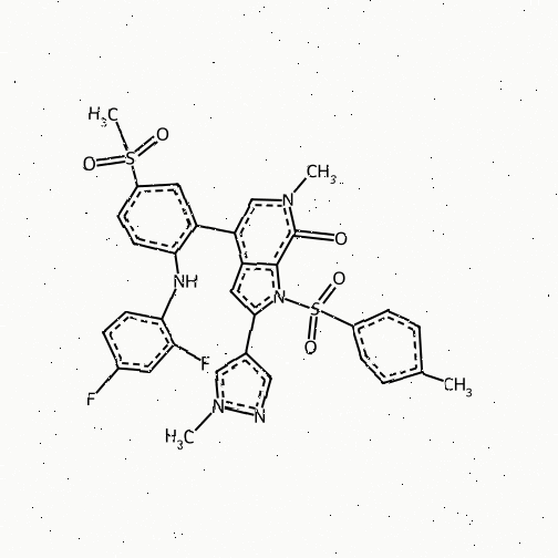 Cc1ccc(S(=O)(=O)n2c(-c3cnn(C)c3)cc3c(-c4cc(S(C)(=O)=O)ccc4Nc4ccc(F)cc4F)cn(C)c(=O)c32)cc1